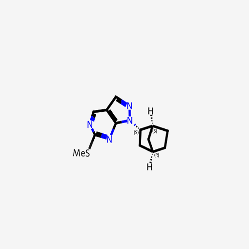 CSc1ncc2cnn([C@H]3C[C@@H]4CC[C@H]3C4)c2n1